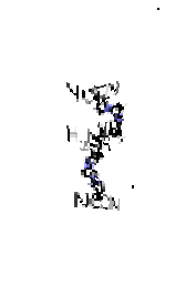 N#CC(C#N)=c1cc/c(=c2/cc/c(=C/c3ccc(-c4sc(-c5ccc(/C=c6/cc/c(=c7/ccc(=C(C#N)C#N)s7)s6)s5)c(N)c4N)s3)s2)s1